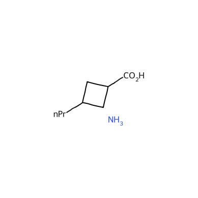 CCCC1CC(C(=O)O)C1.N